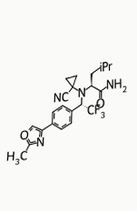 Cc1nc(-c2ccc([C@H](N([C@@H](CC(C)C)C(N)=O)C3(C#N)CC3)C(F)(F)F)cc2)co1